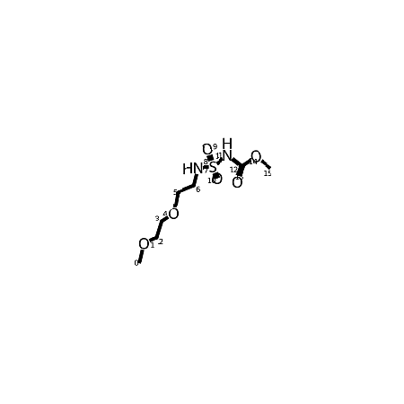 COCCOCCNS(=O)(=O)NC(=O)OC